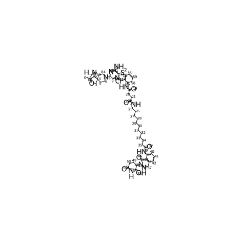 C[C@@H]1OCC2(CCN(c3cnc(SC4=C(Cl)C(NC(=O)CCC(=O)NCCCCCCCCCCCC(=O)Nc5cccc6c5C(=O)N(C5CCC(=O)NC5=O)NC6)CC=C4)c(N)n3)CC2)C1N